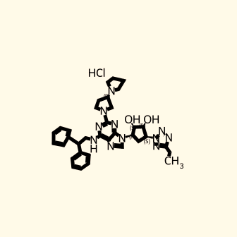 CCc1nnn([C@H]2C[C@@H](n3cnc4c(NCC(c5ccccc5)c5ccccc5)nc(N5CC[C@@H](N6CCCC6)C5)nc43)[C@H](O)[C@@H]2O)n1.Cl